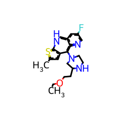 CCOCCC1CN(C2=c3ncc(F)cc3=CNc3sc(C)cc32)CCN1